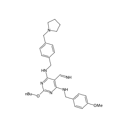 CCCCOc1nc(NCc2ccc(CN3CCCC3)cc2)c(C=N)c(NCc2ccc(OC)cc2)n1